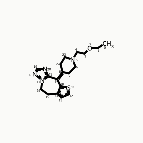 CCOCCN1CCC(=C2c3sccc3CCn3ncnc32)CC1